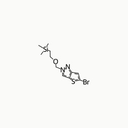 C[Si](C)(C)CCOCn1cc2sc(Br)cc2n1